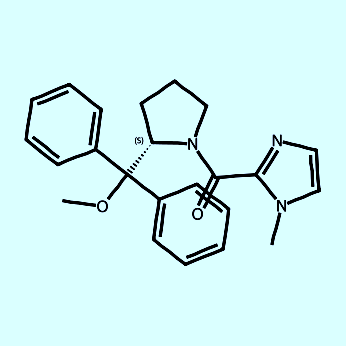 COC(c1ccccc1)(c1ccccc1)[C@@H]1CCCN1C(=O)c1nccn1C